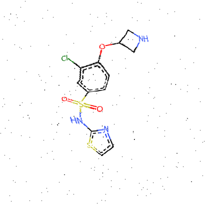 O=S(=O)(Nc1nccs1)c1ccc(OC2CNC2)c(Cl)c1